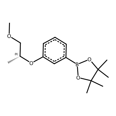 COC[C@@H](C)Oc1cccc(B2OC(C)(C)C(C)(C)O2)c1